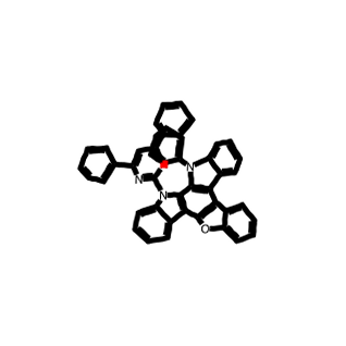 c1ccc(-c2cc(-c3ccccc3)nc(-n3c4ccccc4c4c5oc6ccccc6c5c5c6ccccc6n(-c6ccccc6)c5c43)n2)cc1